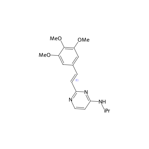 COc1cc(/C=C/c2nccc(NC(C)C)n2)cc(OC)c1OC